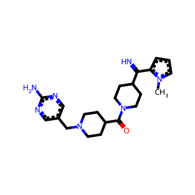 Cn1cccc1C(=N)C1CCN(C(=O)C2CCN(Cc3cnc(N)nc3)CC2)CC1